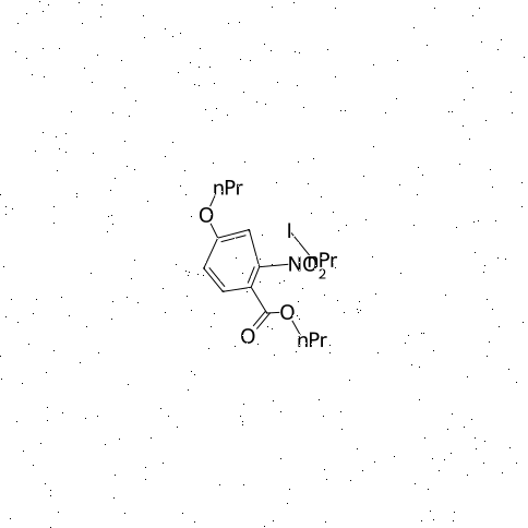 CCCI.CCCOC(=O)c1ccc(OCCC)cc1[N+](=O)[O-]